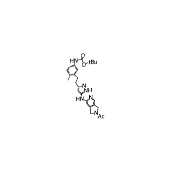 CC(=O)N1Cc2cnc(Nc3cc(CCc4cc(NC(=O)OC(C)(C)C)ccc4C)n[nH]3)cc2C1